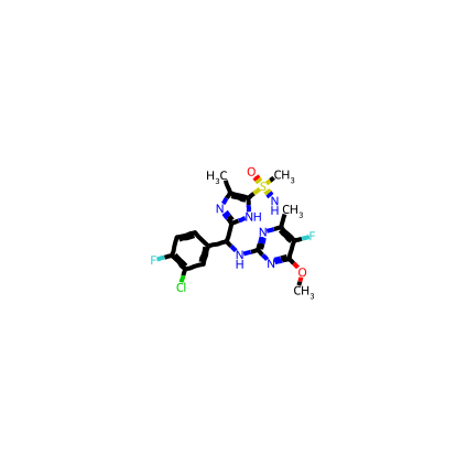 COc1nc(NC(c2ccc(F)c(Cl)c2)c2nc(C)c(S(C)(=N)=O)[nH]2)nc(C)c1F